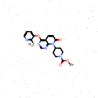 Cc1ncccc1Oc1ncnc2c1ccc(=O)n2C1CCN(C(=O)OC(C)C)CC1